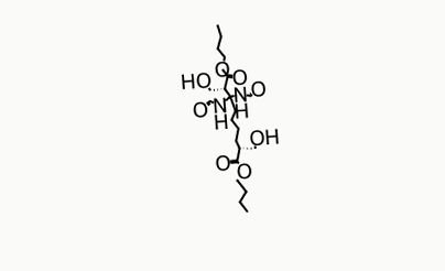 CCCCOC(=O)[C@@H](CO)CCCCC(NC=O)(NC=O)[C@H](CO)C(=O)OCCCC